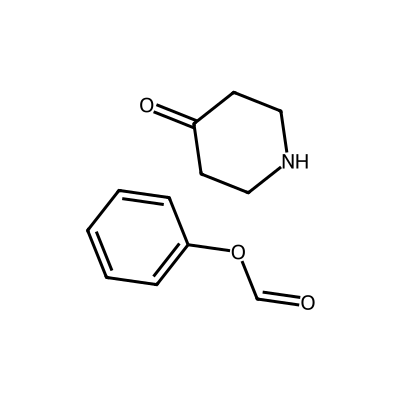 O=C1CCNCC1.O=COc1ccccc1